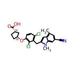 Cc1cc(C#N)cc2c1cc(Cc1c(Cl)ccc(O[C@H]3CC[C@H](C(=O)O)C3)c1Cl)n2C